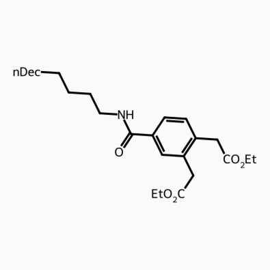 CCCCCCCCCCCCCCNC(=O)c1ccc(CC(=O)OCC)c(CC(=O)OCC)c1